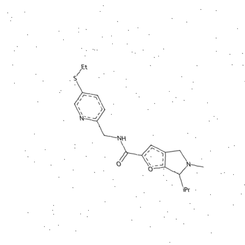 CCSc1ccc(CNC(=O)c2cc3c(o2)C(C(C)C)N(C)C3)nc1